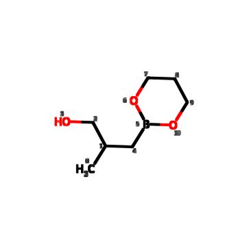 CC(CO)CB1OCCCO1